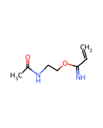 C=CC(=N)OCCNC(C)=O